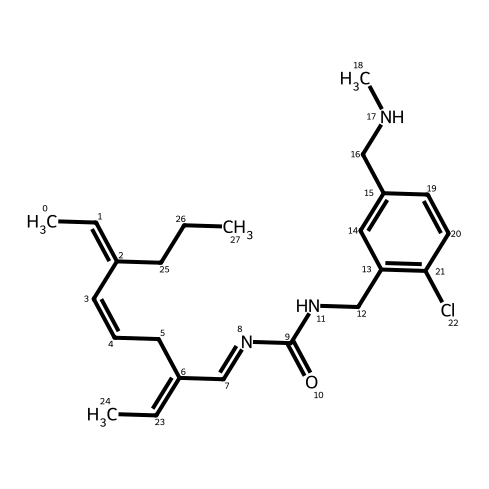 C/C=C(\C=C/CC(/C=N/C(=O)NCc1cc(CNC)ccc1Cl)=C\C)CCC